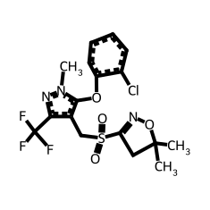 Cn1nc(C(F)(F)F)c(CS(=O)(=O)C2=NOC(C)(C)C2)c1Oc1ccccc1Cl